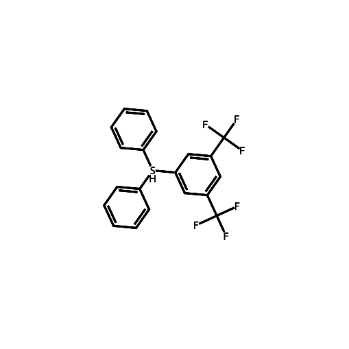 FC(F)(F)c1cc([SH](c2ccccc2)c2ccccc2)cc(C(F)(F)F)c1